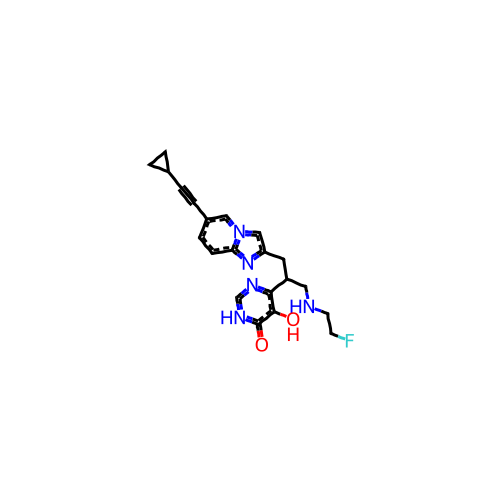 O=c1[nH]cnc(C(CNCCF)Cc2cn3cc(C#CC4CC4)ccc3n2)c1O